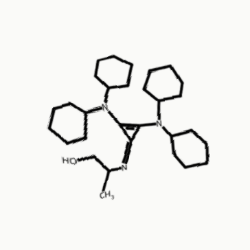 CC(CO)N=c1c(N(C2CCCCC2)C2CCCCC2)c1N(C1CCCCC1)C1CCCCC1